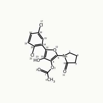 CC(=O)Oc1c(N2CCCC2=O)oc(-c2cc(Cl)ccc2Cl)c1O